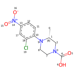 C[C@@H]1CN(C(=O)O)CCN1c1ccc([N+](=O)[O-])cc1Cl